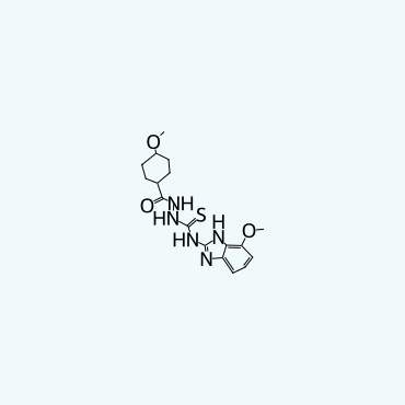 COc1cccc2nc(NC(=S)NNC(=O)C3CCC(OC)CC3)[nH]c12